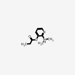 CCC(=O)Oc1cccn[c]1[SnH]([CH3])[CH3]